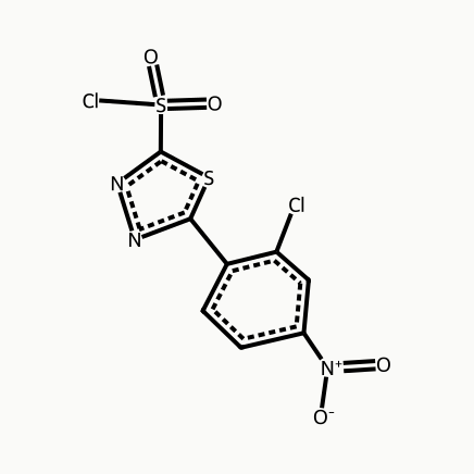 O=[N+]([O-])c1ccc(-c2nnc(S(=O)(=O)Cl)s2)c(Cl)c1